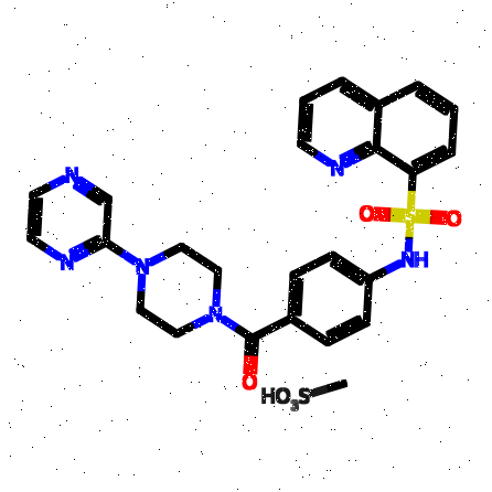 CS(=O)(=O)O.O=C(c1ccc(NS(=O)(=O)c2cccc3cccnc23)cc1)N1CCN(c2cnccn2)CC1